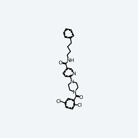 O=C(NCCCCc1ccccc1)c1ccc(N2CCN(C(=O)c3cc(Cl)ccc3Cl)CC2)nc1